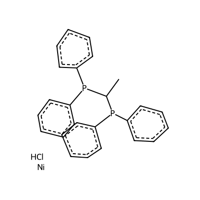 CC(P(c1ccccc1)c1ccccc1)P(c1ccccc1)c1ccccc1.Cl.[Ni]